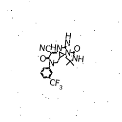 CC1(C)CN(C(=N)NC=C(C#N)C(=O)N(CC2CC2)c2cccc(C(F)(F)F)c2)C(=O)N1